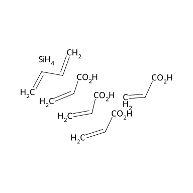 C=CC(=O)O.C=CC(=O)O.C=CC(=O)O.C=CC(=O)O.C=CC=C.[SiH4]